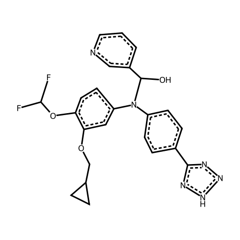 OC(c1cccnc1)N(c1ccc(-c2nn[nH]n2)cc1)c1ccc(OC(F)F)c(OCC2CC2)c1